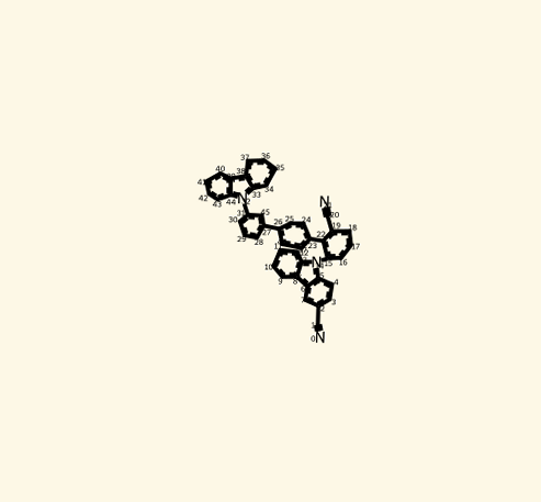 N#Cc1ccc2c(c1)c1ccccc1n2-c1cccc(C#N)c1-c1ccc(-c2cccc(-n3c4ccccc4c4ccccc43)c2)cc1